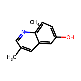 C.Cc1cnc2ccc(O)cc2c1